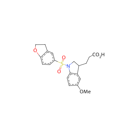 COc1ccc2c(c1)C(CCC(=O)O)CN2S(=O)(=O)c1ccc2c(c1)CCO2